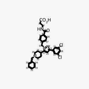 O=C(O)CCNC(=O)c1ccc(Cn2nc(-c3cc(Cl)cc(Cl)c3)cc2C2CCN(Cc3ccccc3)CC2)cc1